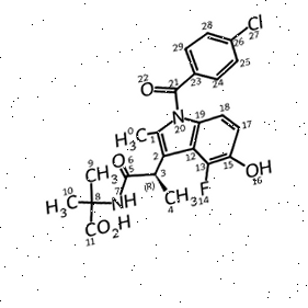 Cc1c([C@@H](C)C(=O)NC(C)(C)C(=O)O)c2c(F)c(O)ccc2n1C(=O)c1ccc(Cl)cc1